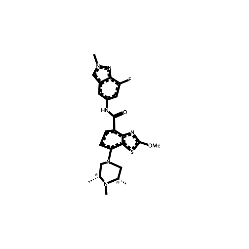 COc1nc2c(C(=O)Nc3cc(F)c4nn(C)cc4c3)ccc(N3C[C@@H](C)N(C)[C@@H](C)C3)c2s1